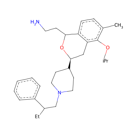 CCC(CN1CCC([C@@H]2Cc3c(ccc(C)c3OC(C)C)C(CCN)O2)CC1)c1ccccc1